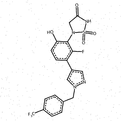 O=C1CN(c2c(O)ccc(-c3cnn(Cc4ccc(C(F)(F)F)cc4)c3)c2F)S(=O)(=O)N1